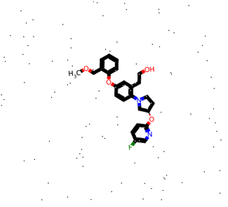 COCc1ccccc1Oc1ccc(N2CC[C@H](Oc3ccc(F)cn3)C2)c(CCO)c1